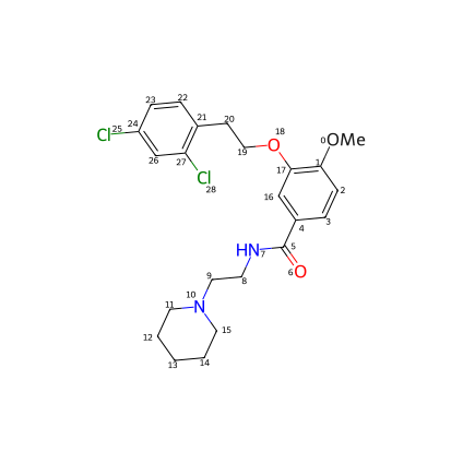 COc1ccc(C(=O)NCCN2CCCCC2)cc1OCCc1ccc(Cl)cc1Cl